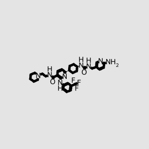 Nc1ccc(CNC(=O)N[C@H]2CC[C@@H](c3ccc(C(=O)NCCN4CCCCC4)c(Nc4cccc(C(F)(F)F)c4)n3)CC2)cn1